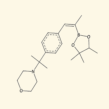 C/C(=C/c1ccc(C(C)(C)N2CCOCC2)cc1)B1OC(C)C(C)(C)O1